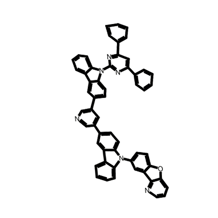 c1ccc(-c2cc(-c3ccccc3)nc(-n3c4ccccc4c4cc(-c5cncc(-c6ccc7c(c6)c6ccccc6n7-c6ccc7oc8cccnc8c7c6)c5)ccc43)n2)cc1